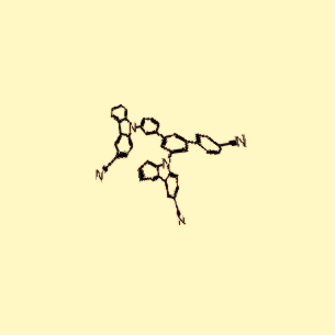 N#Cc1ccc(-c2cc(-c3cccc(-n4c5ccccc5c5cc(C#N)ccc54)c3)cc(-n3c4ccccc4c4cc(C#N)ccc43)c2)cc1